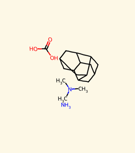 C1C2CC3C4CC5CC(C14)C(C2)C3C5.CN(C)C.N.O=C(O)O